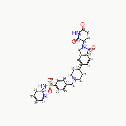 O=C1CCC(N2Cc3cc(C4CCN(Cc5ccc(S(=O)(=O)Nc6ccccn6)cc5)CC4)ccc3C2=O)C(=O)N1